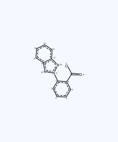 O=C(Cl)c1ccccc1-n1nc2ccccc2n1